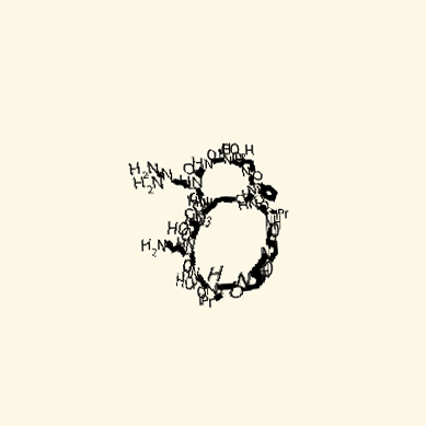 CC(C)C[C@@H]1NC(=O)[C@@H]2CCCN2C(=O)[C@@H]2CCCN2C(=O)[C@H](CC(C)C)NC(=O)[C@H](CO)NC(=O)[C@H](CCCCN)NC(=O)[C@H]([C@@H](C)O)NC(=O)[C@@H]2C/C=C\C[C@H](NC1=O)C(=O)N[C@@H](Cc1ccccc1)C(=O)N1CCC[C@H]1C(=O)N[C@@H](CC(=O)O)C(=O)NCC(=O)N[C@@H](CCCN=C(N)N)C(=O)N2